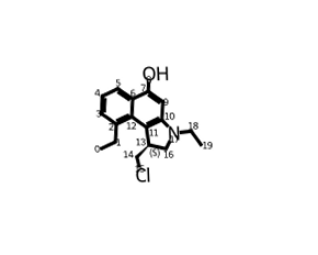 CCc1cccc2c(O)cc3c(c12)[C@H](CCl)CN3CC